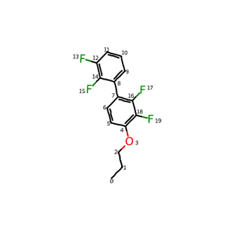 CCCOc1ccc(-c2cccc(F)c2F)c(F)c1F